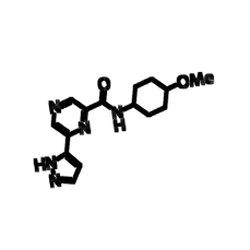 COC1CCC(NC(=O)c2cncc(-c3ccn[nH]3)n2)CC1